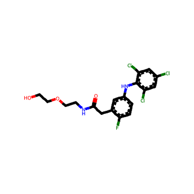 O=C(Cc1cc(Nc2c(Cl)cc(Cl)cc2Cl)ccc1F)NCCOCCO